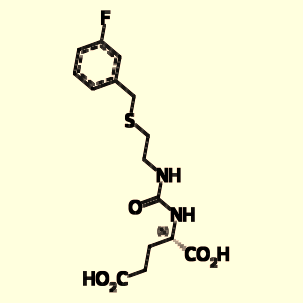 O=C(O)CC[C@H](NC(=O)NCCSCc1cccc(F)c1)C(=O)O